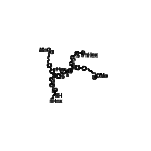 CCCCCC/C=C/C=C(\S)c1ccc(-c2ccc(-c3ccc(N(c4ccc(-c5ccc(CCCCCC(=O)OC)cc5)cc4)c4ccc5sc(-c6sc7ccc(N(c8ccc(-c9ccc(CCCCCC(=O)OC)cc9)cc8)c8ccc(-c9ccc(-c%10ccc(-c%11ccc(CCCCCC)s%11)s%10)s9)s8)cc7c6CCCCCC)c(CCCCCC)c5c4)s3)s2)s1